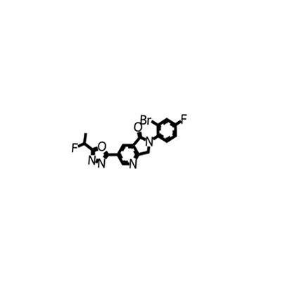 CC(F)c1nnc(-c2cnc3c(c2)C(=O)N(c2ccc(F)cc2Br)C3)o1